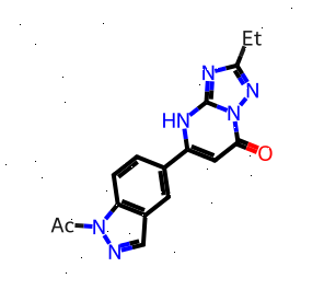 CCc1nc2[nH]c(-c3ccc4c(cnn4C(C)=O)c3)cc(=O)n2n1